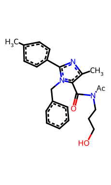 CC(=O)N(CCCO)C(=O)c1c(C)nc(-c2ccc(C)cc2)n1Cc1ccccc1